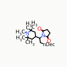 CCCCCCCCCCCC(C1CC(C)(C)N(C)C(C)(C)C1)N1C(=O)CCC1=O